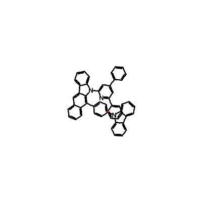 c1ccc(-c2cc(-c3ccccc3)nc(-n3c4ccccc4c4cc5ccccc5c(-c5ccc(-n6c7ccccc7c7ccccc76)cc5)c43)c2)cc1